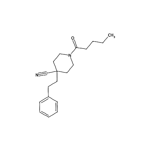 CCCCC(=O)N1CCC(C#N)(CCc2ccccc2)CC1